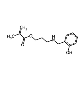 C=C(C)C(=O)OCCCNCc1ccccc1O